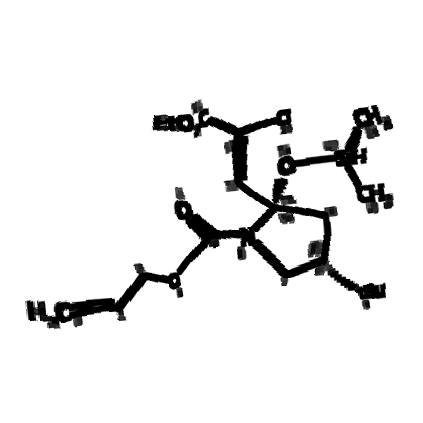 C=CCOC(=O)N1C[C@@H](C(C)(C)C)C[C@@]1(C=C(Cl)C(=O)OCC)O[SiH](C)C